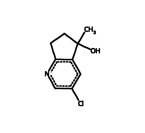 CC1(O)CCc2ncc(Cl)cc21